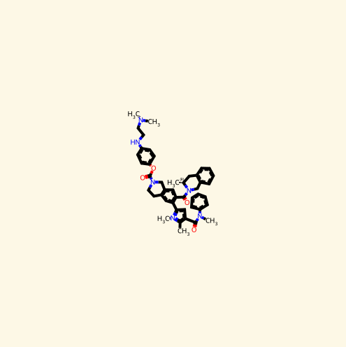 Cc1c(C(=O)N(C)c2ccccc2)cc(-c2cc3c(cc2C(=O)N2Cc4ccccc4C[C@H]2C)CN(C(=O)Oc2ccc(NCCN(C)C)cc2)CC3)n1C